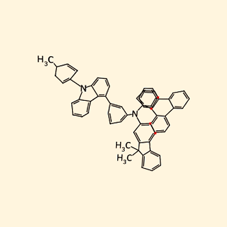 CC1C=CC(n2c3ccccc3c3c(-c4cccc(N(c5ccc6c(c5)C(C)(C)c5ccccc5-6)c5ccccc5-c5ccccc5-c5ccccc5-c5ccccc5)c4)cccc32)=CC1